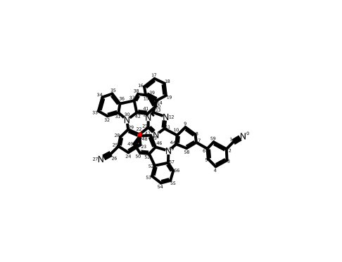 N#Cc1cccc(-c2ccc(-c3nc(-c4ccccc4)nc(-c4ccc(C#N)cc4-n4c5ccccc5c5ccccc54)n3)c(-n3c4ccccc4c4ccccc43)c2)c1